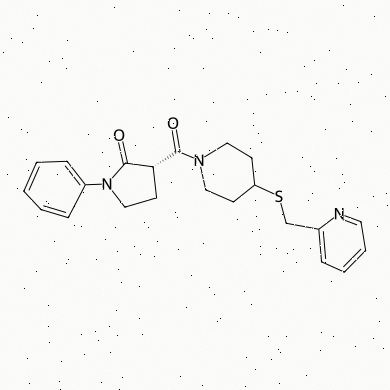 O=C([C@@H]1CCN(c2ccccc2)C1=O)N1CCC(SCc2ccccn2)CC1